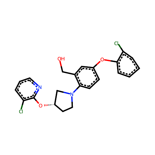 OCc1cc(Oc2ccccc2Cl)ccc1N1CC[C@H](Oc2ncccc2Cl)C1